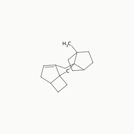 CC12CCC(CC1)C21CC2=CCC3CCC23C1